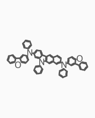 c1ccc(N(c2ccc3cc4c5ccc(N(c6ccccc6)c6ccc7oc8ccccc8c7c6)cc5n(-c5ccccc5)c4cc3c2)c2ccc3oc4ccccc4c3c2)cc1